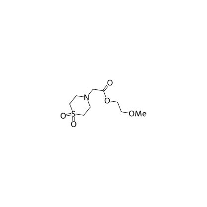 COCCOC(=O)CN1CCS(=O)(=O)CC1